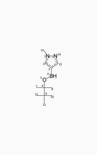 Cn1cc(BOC(C)(C)C(C)(C)C)cn1